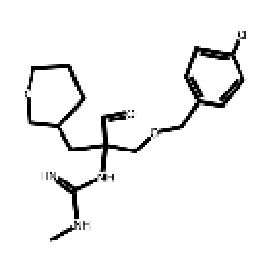 CNC(=N)NC(C=O)(COCc1ccc(Cl)cc1)CC1CCCCC1